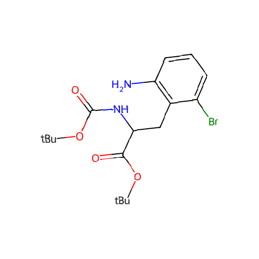 CC(C)(C)OC(=O)NC(Cc1c(N)cccc1Br)C(=O)OC(C)(C)C